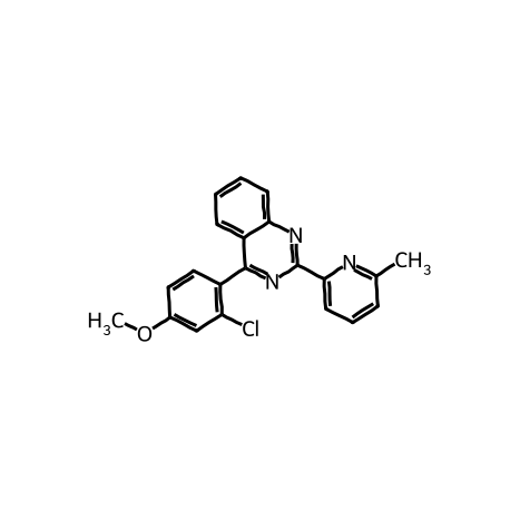 COc1ccc(-c2nc(-c3cccc(C)n3)nc3ccccc23)c(Cl)c1